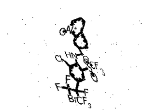 O=C(Nc1c(Cl)cc(C(F)(C(F)(F)F)C(F)(F)Br)cc1S(=O)(=O)C(F)(F)F)c1ccc2ccc[n+]([O-])c2c1